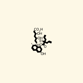 C=CCC(CC)(CC=C)C(=O)O[C@H]1C[C@H](O)C=C2C=C[C@H](C)[C@H](CC[C@@H](O)C[C@@H](O)CC(=O)O)[C@H]21